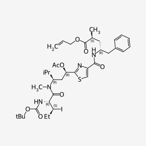 C=CCOC(=O)[C@@H](C)C[C@H](Cc1ccccc1)NC(=O)c1csc([C@@H](C[C@H](C(C)C)N(C)C(=O)[C@@H](NC(=O)OC(C)(C)C)[C@@H](I)CC)OC(C)=O)n1